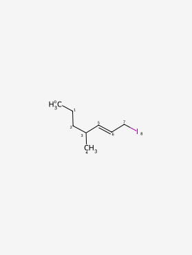 CCCC(C)C=CCI